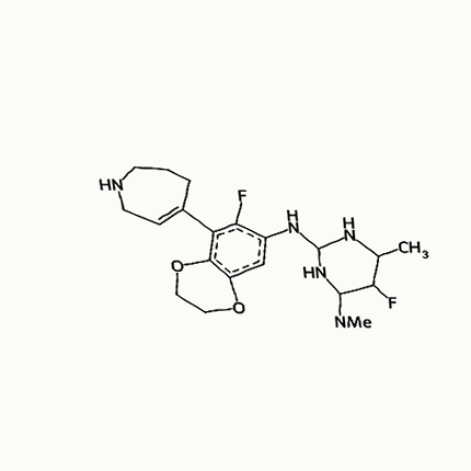 CNC1NC(Nc2cc3c(c(C4=CCNCCC4)c2F)OCCO3)NC(C)C1F